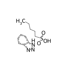 CCCCCS(=O)(=O)O.c1ccc2[nH]nnc2c1